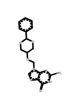 Nc1nc2c(ncn2COC2COC(c3ccccc3)OC2)c(=O)[nH]1